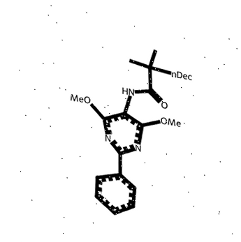 CCCCCCCCCCC(C)(C)C(=O)Nc1c(OC)nc(-c2ccccc2)nc1OC